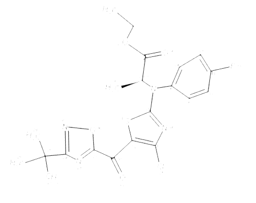 CCOC(=O)[C@H](C)N(c1ccc(F)cc1)c1nc(Cl)c(C(=O)c2nc(C(C)(C)C)no2)s1